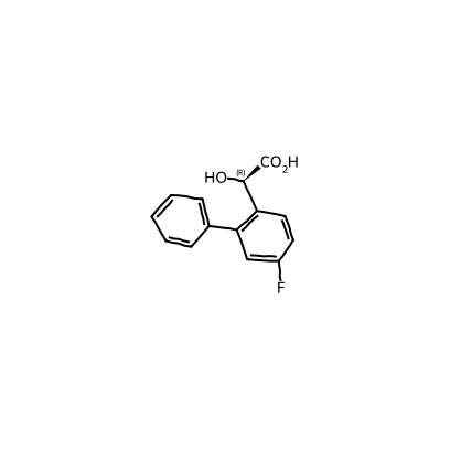 O=C(O)[C@H](O)c1ccc(F)cc1-c1ccccc1